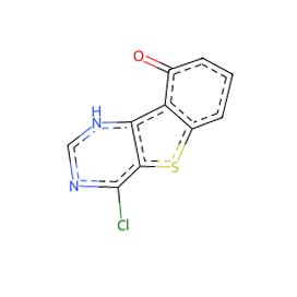 O=c1cccc2sc3c(Cl)nc[nH]c3c12